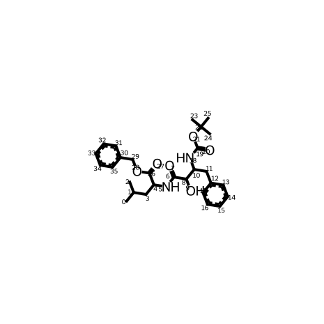 CC(C)CC(NC(=O)C(O)C(Cc1ccccc1)NC(=O)OC(C)(C)C)C(=O)OCc1ccccc1